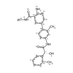 Cc1cc(NC(=O)[C@H](O)c2ccccc2C)ccc1-c1cnc(N)c(C(=O)NC(C)C)c1